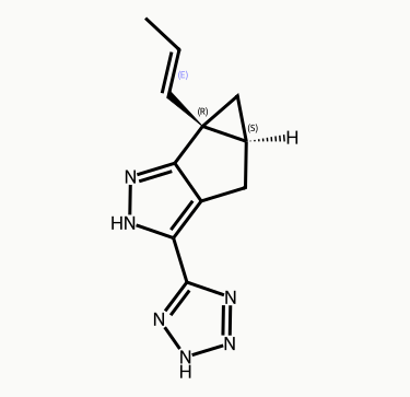 C/C=C/[C@@]12C[C@H]1Cc1c2n[nH]c1-c1nn[nH]n1